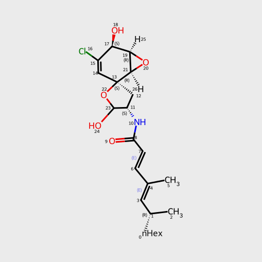 CCCCCC[C@@H](C)/C=C(C)/C=C/C(=O)N[C@H]1C[C@@]2(C=C(Cl)[C@@H](O)[C@H]3O[C@H]32)OC1O